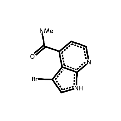 CNC(=O)c1ccnc2[nH]cc(Br)c12